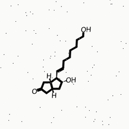 O=C1C[C@H]2C[C@@H](O)[C@H](/C=C/CCCCCCO)[C@H]2C1